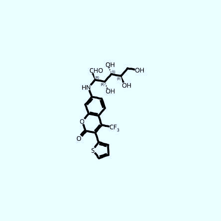 O=C[C@H](Nc1ccc2c(C(F)(F)F)c(-c3cccs3)c(=O)oc2c1)[C@@H](O)[C@H](O)[C@H](O)CO